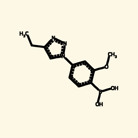 CCc1cn(-c2ccc(B(O)O)c(OC)c2)nn1